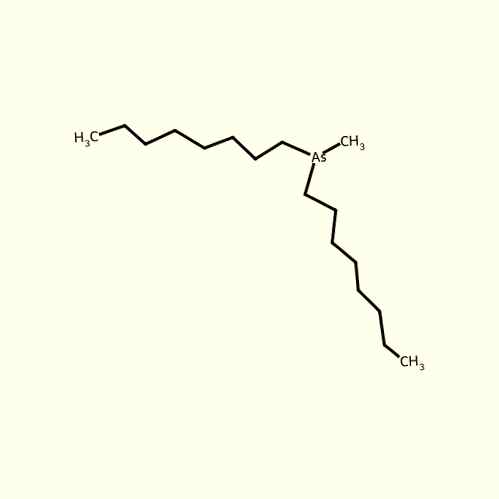 CCCCCCCC[As](C)CCCCCCCC